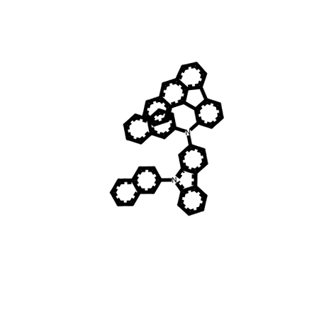 c1cc2c(c(N(c3ccc4ccccc4c3)c3ccc4c5ccccc5n(-c5ccc6ccccc6c5)c4c3)c1)-c1c3ccccc3cc3cccc-2c13